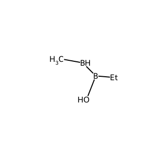 CBB(O)CC